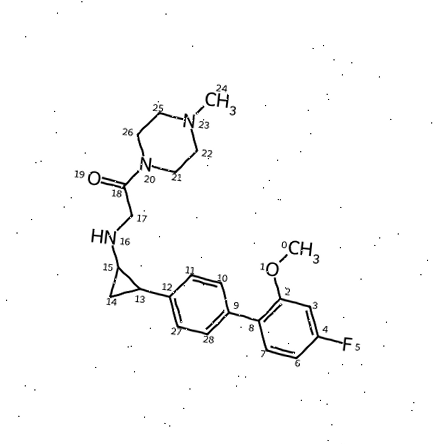 COc1cc(F)ccc1-c1ccc(C2CC2NCC(=O)N2CCN(C)CC2)cc1